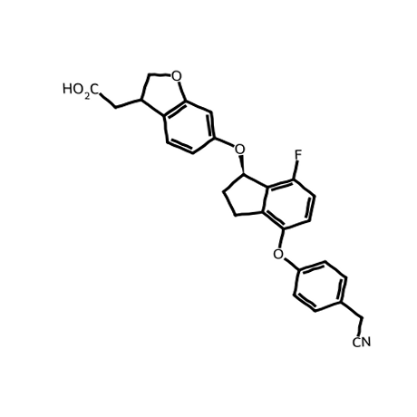 N#CCc1ccc(Oc2ccc(F)c3c2CC[C@H]3Oc2ccc3c(c2)OCC3CC(=O)O)cc1